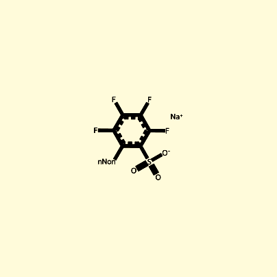 CCCCCCCCCc1c(F)c(F)c(F)c(F)c1S(=O)(=O)[O-].[Na+]